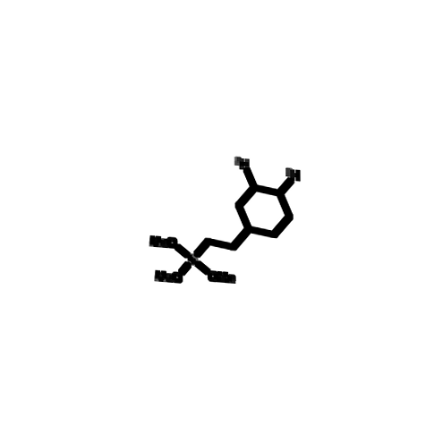 [2H]C1CCC(CC[Si](OC)(OC)OC)CC1[2H]